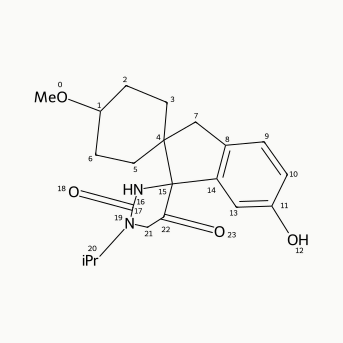 COC1CCC2(CC1)Cc1ccc(O)cc1C21NC(=O)N(C(C)C)CC1=O